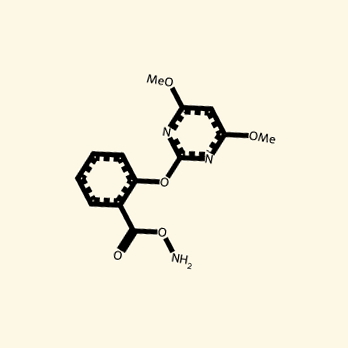 COc1cc(OC)nc(Oc2ccccc2C(=O)ON)n1